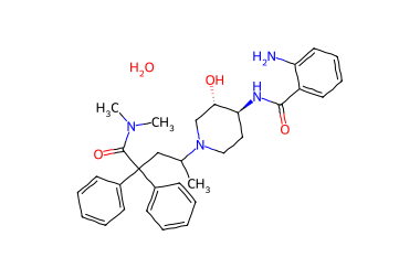 CC(CC(C(=O)N(C)C)(c1ccccc1)c1ccccc1)N1CC[C@H](NC(=O)c2ccccc2N)[C@@H](O)C1.O